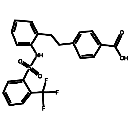 O=C(O)c1ccc(CCc2ccccc2NS(=O)(=O)c2ccccc2C(F)(F)F)cc1